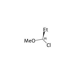 CC[C@@H](Cl)OC